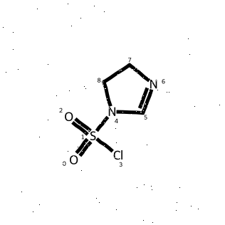 O=S(=O)(Cl)N1C=NCC1